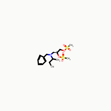 CC(CC#N)N(Cc1ccccc1)C[C@@H](COS(C)(=O)=O)OS(C)(=O)=O